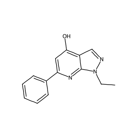 CCn1ncc2c(O)cc(-c3ccccc3)nc21